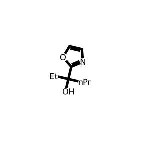 CCCC(O)(CC)c1ncco1